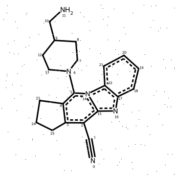 N#Cc1c2c(c(N3CCC(CN)CC3)n3c1nc1ccccc13)CCC2